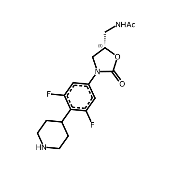 CC(=O)NC[C@H]1CN(c2cc(F)c(C3CCNCC3)c(F)c2)C(=O)O1